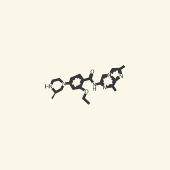 CCOc1cc(N2CCN[C@H](C)C2)ccc1C(=O)Nc1cn2cc(C)nc2c(C)n1